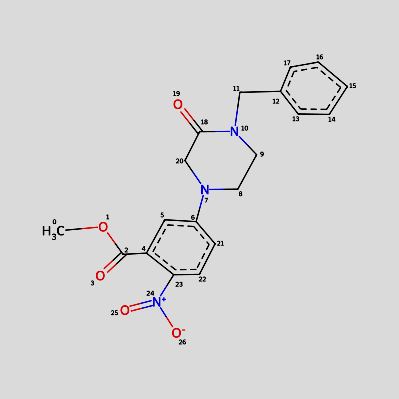 COC(=O)c1cc(N2CCN(Cc3ccccc3)C(=O)C2)ccc1[N+](=O)[O-]